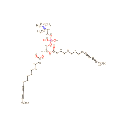 CCCCCCCCCCC#CC#CCCCCCCCCC(=O)OC[C@H](COP(=O)(O)OCC[N+](C)(C)C)OC(=O)CCCCCCCCC#CC#CCCCCCCCCCC